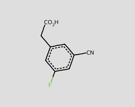 N#Cc1cc(F)cc(CC(=O)O)c1